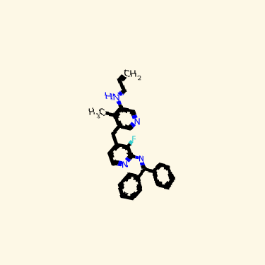 C=CCNc1cncc(Cc2ccnc(N=C(c3ccccc3)c3ccccc3)c2F)c1C